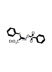 CCOC(=O)/C(=N/OS(=O)(=O)c1ccccc1)Sc1ccccc1